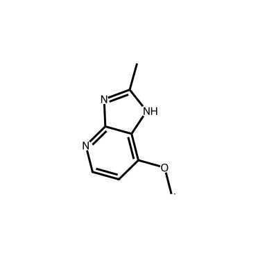 [CH2]Oc1ccnc2nc(C)[nH]c12